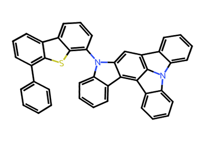 c1ccc(-c2cccc3c2sc2c(-n4c5ccccc5c5c6c7ccccc7n7c8ccccc8c(cc54)c67)cccc23)cc1